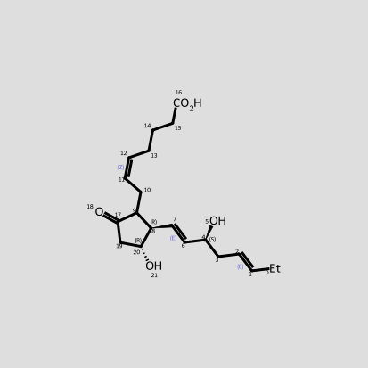 CC/C=C/C[C@H](O)/C=C/[C@@H]1C(C/C=C\CCCC(=O)O)C(=O)C[C@H]1O